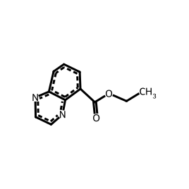 CCOC(=O)c1cccc2nccnc12